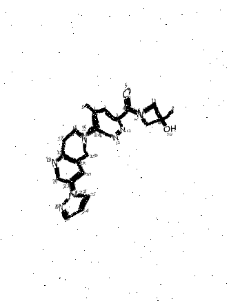 Cc1cc(C(=O)N2CC(C)(O)C2)nnc1N1CCc2ncc(-n3cccn3)cc2C1